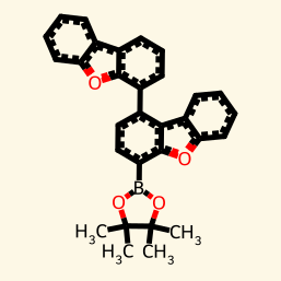 CC1(C)OB(c2ccc(-c3cccc4c3oc3ccccc34)c3c2oc2ccccc23)OC1(C)C